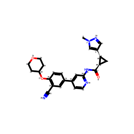 Cn1cc([C@@H]2C[C@H]2C(=O)Nc2cc(-c3ccc(OC4CCOCC4)c(C#N)c3)ccn2)cn1